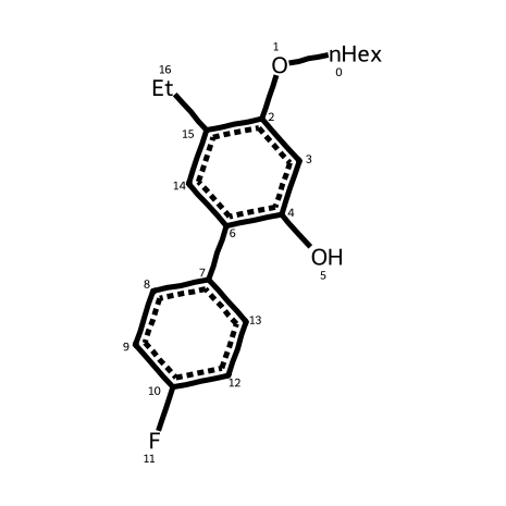 CCCCCCOc1cc(O)c(-c2ccc(F)cc2)cc1CC